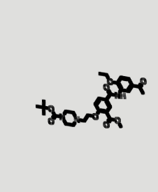 CCOc1ccc(C(C)=O)cc1NC(=O)c1ccc(OCCN2CCN(C(=O)OC(C)(C)C)CC2)c(C(=O)OC)c1